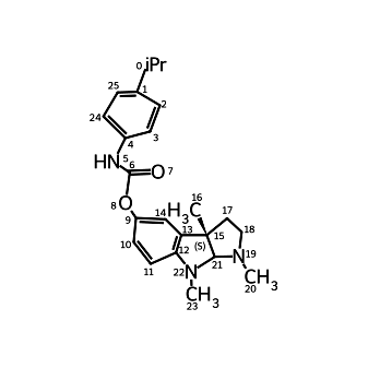 CC(C)c1ccc(NC(=O)Oc2ccc3c(c2)[C@]2(C)CCN(C)C2N3C)cc1